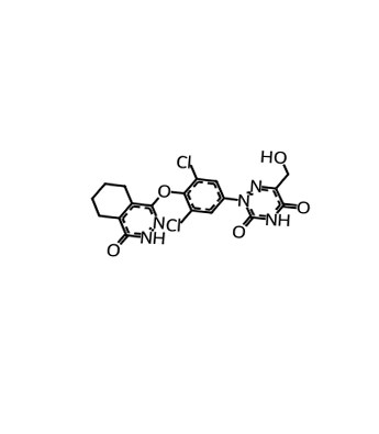 O=c1[nH]c(=O)n(-c2cc(Cl)c(Oc3n[nH]c(=O)c4c3CCCC4)c(Cl)c2)nc1CO